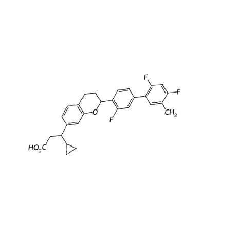 Cc1cc(-c2ccc(C3CCc4ccc(C(CC(=O)O)C5CC5)cc4O3)c(F)c2)c(F)cc1F